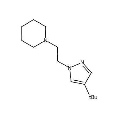 CC(C)(C)c1cnn(CCN2CCCCC2)c1